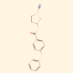 N#CN1CCC(NC(=O)c2ccc(Oc3ccccc3)cc2)C1